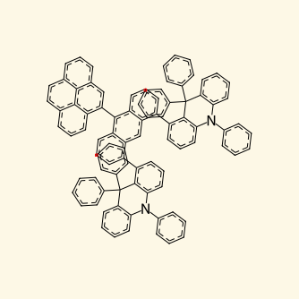 c1ccc(N2c3ccccc3C(c3ccccc3)(c3ccccc3)c3c(-c4cccc5c(-c6cc7cccc8ccc9cccc6c9c87)c6cccc(-c7cccc8c7C(c7ccccc7)(c7ccccc7)c7ccccc7N8c7ccccc7)c6cc45)cccc32)cc1